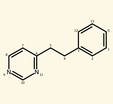 c1ccc(CCc2ccncn2)cc1